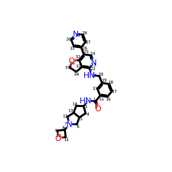 O=C(NC1CC2CN(C3COC3)CC2C1)c1cccc(CNc2ncc(-c3ccncc3)c3c2CCO3)c1